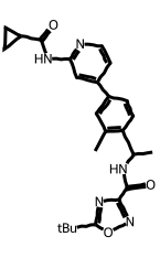 Cc1cc(-c2ccnc(NC(=O)C3CC3)c2)ccc1C(C)NC(=O)c1noc(C(C)(C)C)n1